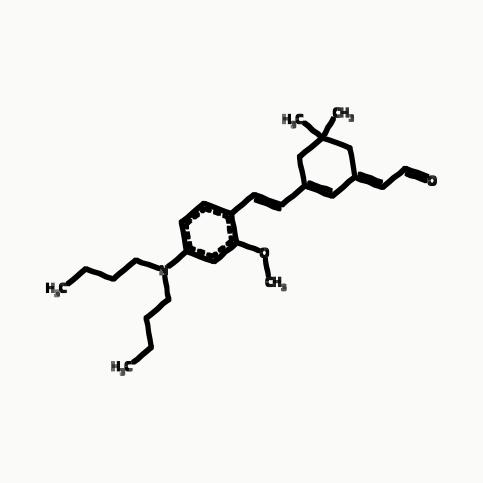 CCCCN(CCCC)c1ccc(/C=C/C2=CC(=C/C=O)/CC(C)(C)C2)c(OC)c1